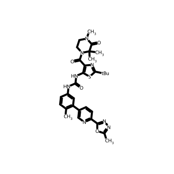 Cc1nnc(-c2ccc(-c3cc(NC(=O)Nc4sc(C(C)(C)C)nc4C(=O)N4CCN(C)C(=O)C4(C)C)ccc3C)cn2)o1